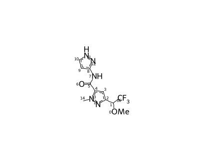 COC(c1cc(C(=O)Nc2cc[nH]n2)n(C)n1)C(F)(F)F